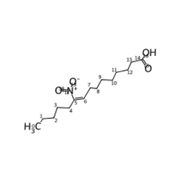 CCCCCC(=CCCCCCCCC(=O)O)[N+](=O)[O-]